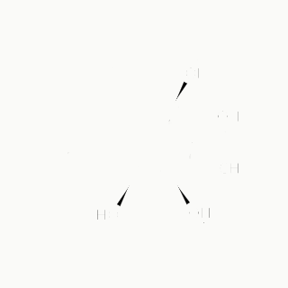 C[C@@]1(O)[C@H](O)c2ccccc2[C@H](O)[C@@H]1O